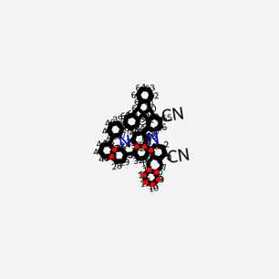 N#Cc1cc2c(c3c1C1c4ccccc4C3c3ccccc31)c1cc(N(c3ccccc3-c3ccccc3)c3ccccc3-c3ccccc3)cc3c4c5c(c(C#N)cc4n2c13)C1c2ccccc2C2c3ccccc3C521